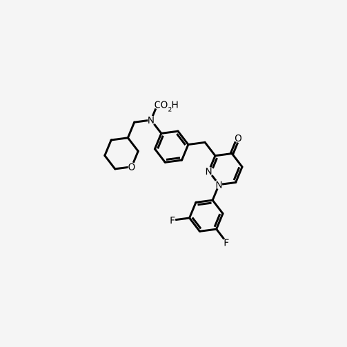 O=C(O)N(CC1CCCOC1)c1cccc(Cc2nn(-c3cc(F)cc(F)c3)ccc2=O)c1